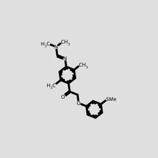 CSc1cccc(OCC(=O)c2cc(C)c(N=CN(C)C)cc2C)c1